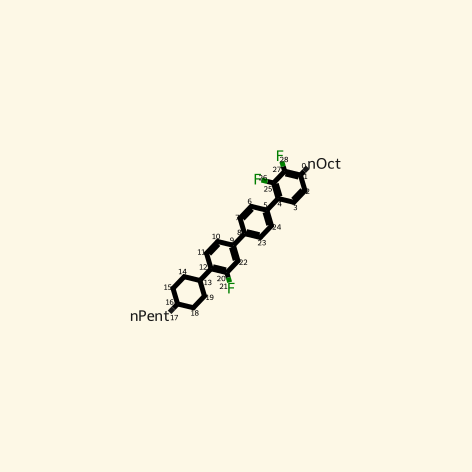 CCCCCCCCc1ccc(-c2ccc(-c3ccc(C4CCC(CCCCC)CC4)c(F)c3)cc2)c(F)c1F